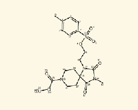 Cc1ccc(S(=O)(=O)OCCN2C(=O)N(C)C(=O)C23CCN(C(=O)OC(C)(C)C)CC3)cc1